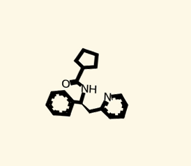 O=C(N[C@@H](Cc1ccccn1)c1ccccc1)C1CCCC1